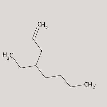 [CH2]CCCC([CH]C)CC=C